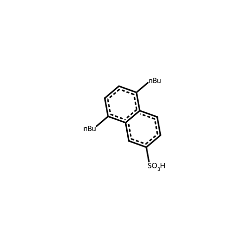 CCCCc1ccc(CCCC)c2cc(S(=O)(=O)O)ccc12